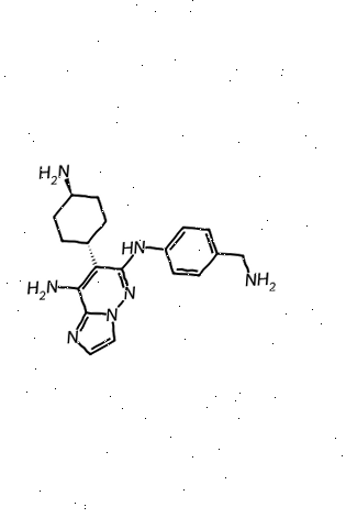 NCc1ccc(Nc2nn3ccnc3c(N)c2[C@H]2CC[C@H](N)CC2)cc1